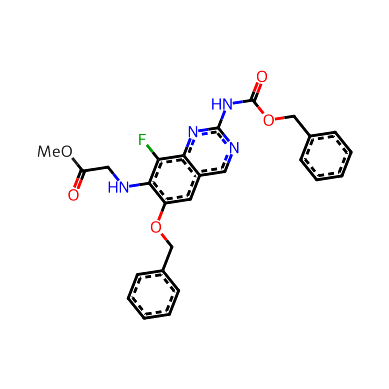 COC(=O)CNc1c(OCc2ccccc2)cc2cnc(NC(=O)OCc3ccccc3)nc2c1F